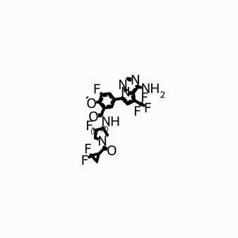 COc1c(F)cc(-c2cc(C(F)(F)F)c3c(N)ncnn23)cc1C(=O)N[C@@H]1CN(C(=O)C2CC2(F)F)C[C@@H]1F